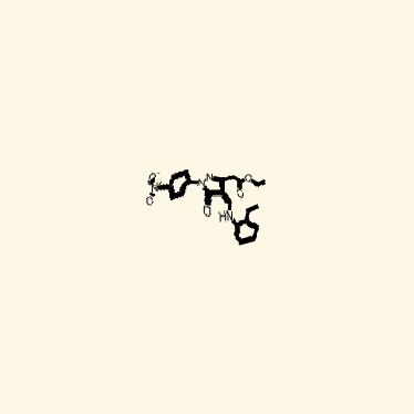 CCOC(=O)CC1=NN(c2ccc([N+](=O)[O-])cc2)C(=O)C1=CNc1ccccc1CC